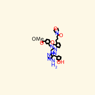 COC(=O)c1cccc(Cn2c(Cn3nc(-c4cccc(O)c4)c4c(N)ncnc43)nc3cccc(CCCC(=O)N4CCOCC4)c3c2=O)c1